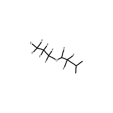 CC(C)C(F)(F)C(F)OC(F)(F)C(F)(F)C(F)(F)F